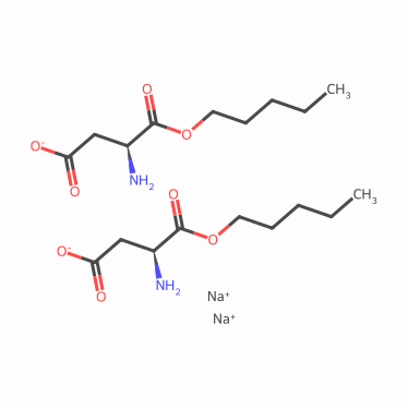 CCCCCOC(=O)[C@@H](N)CC(=O)[O-].CCCCCOC(=O)[C@@H](N)CC(=O)[O-].[Na+].[Na+]